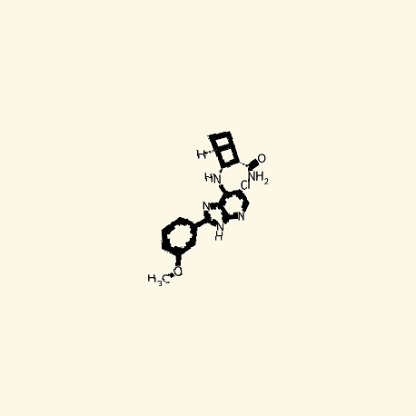 COc1cccc(-c2nc3c(N[C@@H]4[C@H]5C=CC5[C@@H]4C(N)=O)c(Cl)cnc3[nH]2)c1